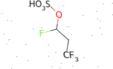 O=S(=O)(O)OC(F)CC(F)(F)F